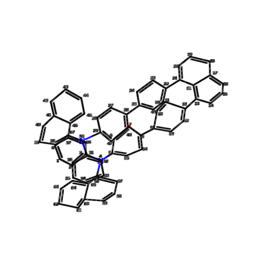 c1ccc(N(c2ccc(-c3ccc(-c4cccc5cccc(-c6ccc(-c7ccc(N(c8ccccc8)c8cccc9ccccc89)cc7)cc6)c45)cc3)cc2)c2cccc3ccccc23)cc1